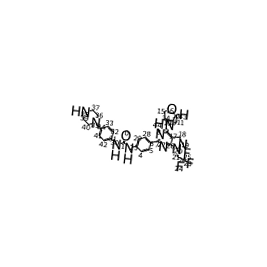 O=C(Nc1ccc(-c2nc(N3C[C@@H]4C[C@H]3CO4)c3cnn(CC(F)(F)F)c3n2)cc1)Nc1ccc(N2CCNCC2)cc1